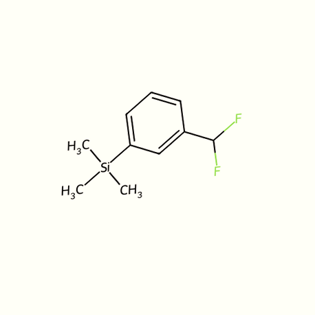 C[Si](C)(C)c1cccc(C(F)F)c1